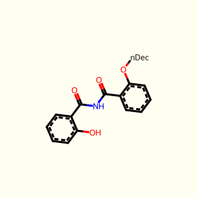 CCCCCCCCCCOc1ccccc1C(=O)NC(=O)c1ccccc1O